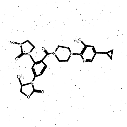 CC(=O)N1CCN(c2cc(N3C(=O)OCC3C)ccc2C(=O)N2CCN(c3ncc(C4CC4)cc3C)CC2)C1=O